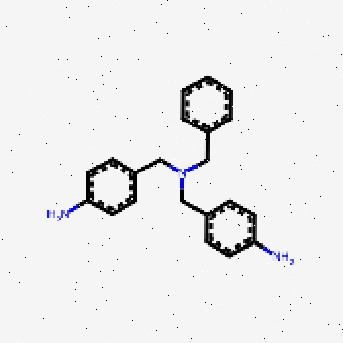 Nc1ccc(CN(Cc2ccccc2)Cc2ccc(N)cc2)cc1